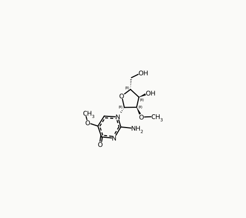 COc1cn([C@@H]2O[C@H](CO)[C@@H](O)[C@H]2OC)c(N)nc1=O